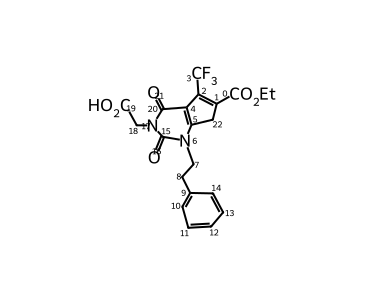 CCOC(=O)C1=C(C(F)(F)F)c2c(n(CCc3ccccc3)c(=O)n(CC(=O)O)c2=O)C1